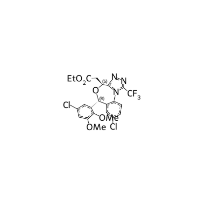 CCOC(=O)C[C@@H]1O[C@@H](c2cc(Cl)cc(OC)c2OC)c2cc(Cl)ccc2-n2c1nnc2C(F)(F)F